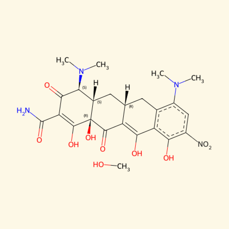 CN(C)c1cc([N+](=O)[O-])c(O)c2c1C[C@H]1C[C@H]3[C@H](N(C)C)C(=O)C(C(N)=O)=C(O)[C@@]3(O)C(=O)C1=C2O.CO